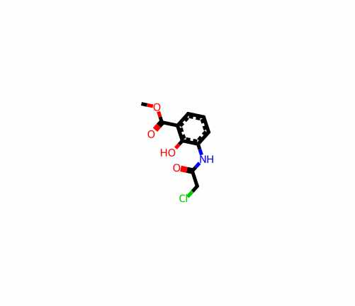 COC(=O)c1cccc(NC(=O)CCl)c1O